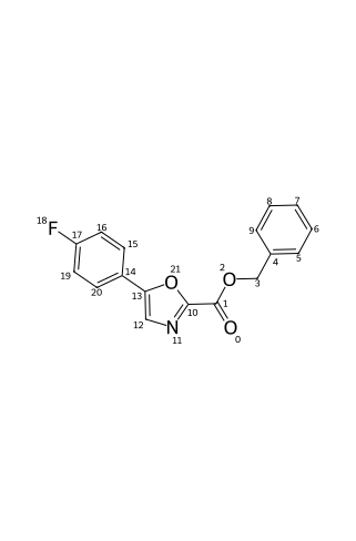 O=C(OCc1ccccc1)c1ncc(-c2ccc(F)cc2)o1